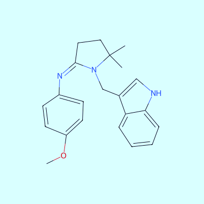 COc1ccc(/N=C2/CCC(C)(C)N2Cc2c[nH]c3ccccc23)cc1